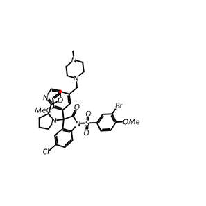 COc1ccc(S(=O)(=O)N2C(=O)C(c3cc(CN4CCN(C)CC4)ccc3OC)(N3CCCC3c3ncco3)c3cc(Cl)ccc32)cc1Br